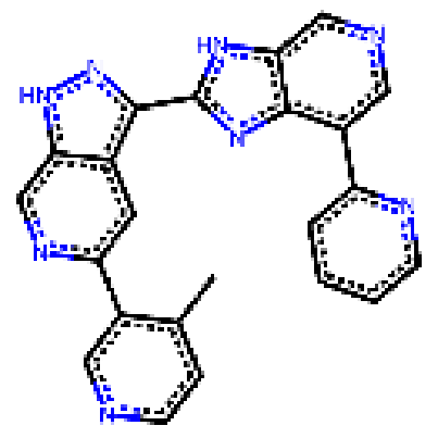 Cc1ccncc1-c1cc2c(-c3nc4c(-c5ccccn5)cncc4[nH]3)n[nH]c2cn1